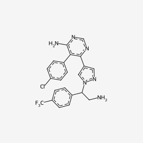 NCC(c1ccc(C(F)(F)F)cc1)n1cc(-c2ncnc(N)c2-c2ccc(Cl)cc2)cn1